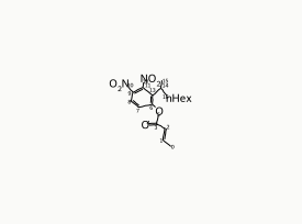 CC=CC(=O)Oc1ccc([N+](=O)[O-])c([N+](=O)[O-])c1C(C)CCCCCC